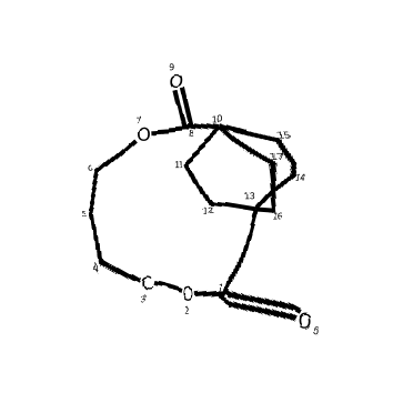 O=C1OCCCCOC(=O)C23CCC1(CC2)CC3